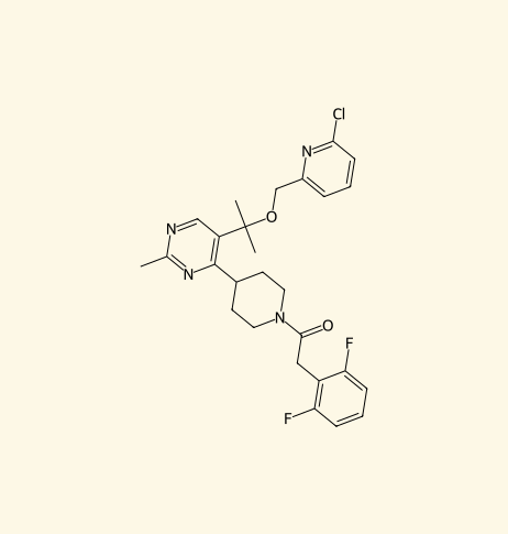 Cc1ncc(C(C)(C)OCc2cccc(Cl)n2)c(C2CCN(C(=O)Cc3c(F)cccc3F)CC2)n1